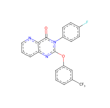 O=c1c2ncccc2nc(Oc2cccc(C(F)(F)F)c2)n1-c1ccc(F)cc1